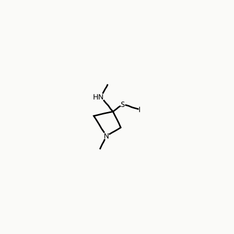 CNC1(SI)CN(C)C1